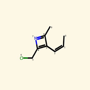 C/C=C\C1=C(CCl)N=C1C